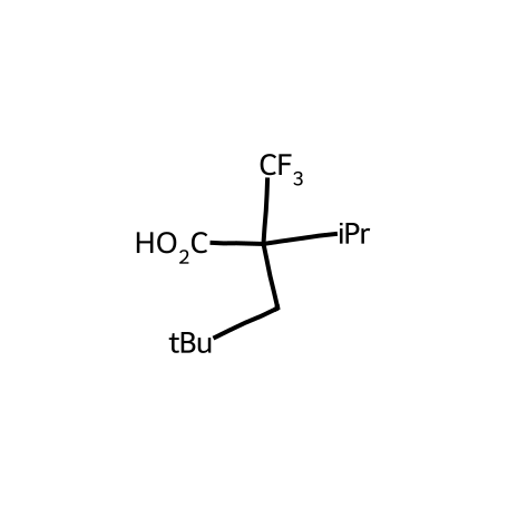 CC(C)C(CC(C)(C)C)(C(=O)O)C(F)(F)F